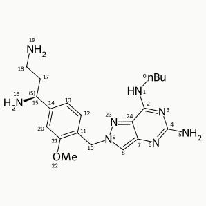 CCCCNc1nc(N)nc2cn(Cc3ccc([C@@H](N)CCN)cc3OC)nc12